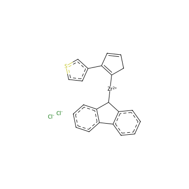 C1=CC(c2ccsc2)=[C]([Zr+2][CH]2c3ccccc3-c3ccccc32)C1.[Cl-].[Cl-]